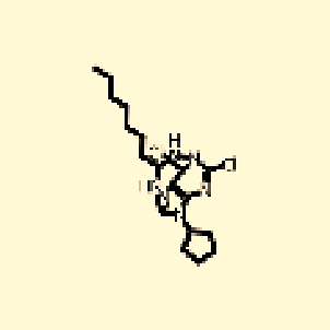 CCCCCCCC1Nc2nc3c(n2C2CCCC2)N=C(Cl)N(N1)C3Cl